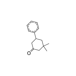 CC1(C)CC(=O)CC(c2ccccc2)C1